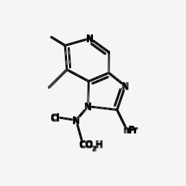 CCCc1nc2cnc(C)c(C)c2n1N(Cl)C(=O)O